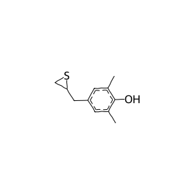 Cc1cc(CC2CS2)cc(C)c1O